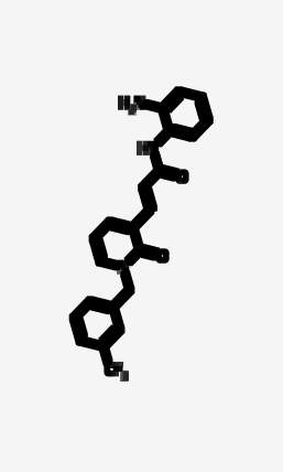 Nc1ccccc1NC(=O)/C=C/c1cccn(Cc2cccc(C(F)(F)F)c2)c1=O